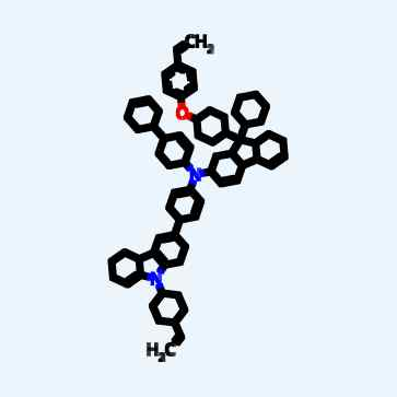 C=Cc1ccc(OC2CCC(C3(C4CCCCC4)C4CCC=CC4C4C=CC(N(C5=CCC(C6=CC7=C(CC6)N(C6CCC(C=C)CC6)C6=CCCCC67)C=C5)C5C=CC(C6CC=CCC6)CC5)CC43)CC2)cc1